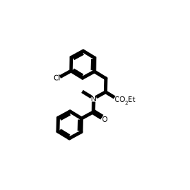 CCOC(=O)C(Cc1cccc(Cl)c1)N(C)C(=O)c1ccccc1